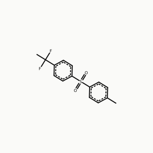 Cc1ccc(S(=O)(=O)c2ccc(C(C)(F)F)cc2)cc1